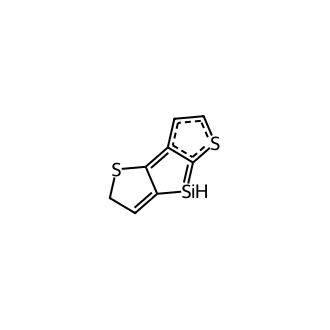 C1=C2[SiH]=c3sccc3=C2SC1